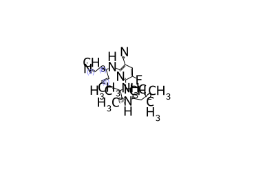 C=C(CC(C)(C)C)N[C@@H](C)C(CC)Nc1nc(NC(/C=C/C)=C/C=N\C)c(C#N)cc1F